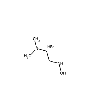 Br.CN(C)CCNO